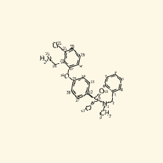 CN(Cc1ccccc1)S(=O)(=O)c1ccc(Oc2cccc(Cl)c2CN)cc1